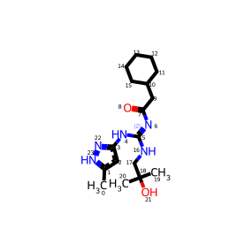 Cc1cc(N/C(=N\C(=O)CC2CCCCC2)NCC(C)(C)O)n[nH]1